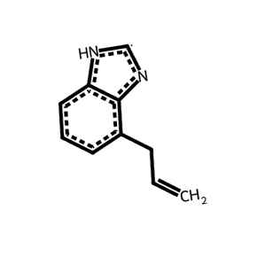 C=CCc1cccc2[nH][c]nc12